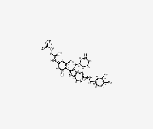 O=C(COC(=O)C(F)(F)F)Nc1cc(Cl)c(-c2nc3cnc(NCc4ccc(F)c(F)c4)nc3n2CC2CCCNC2)c(Cl)c1